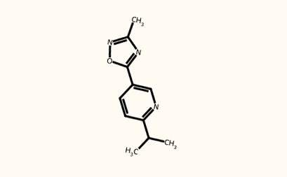 Cc1noc(-c2ccc(C(C)C)nc2)n1